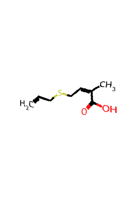 C=CCSCC=C(C)C(=O)O